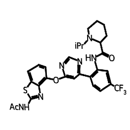 CC(=O)Nc1nc2c(Oc3cc(-c4ccc(C(F)(F)F)cc4NC(=O)C4CCCCN4C(C)C)ncn3)cccc2s1